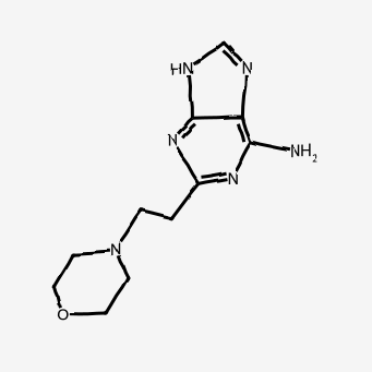 Nc1nc(CCN2CCOCC2)nc2[nH]cnc12